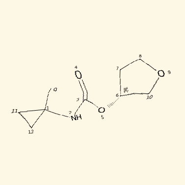 CC1(NC(=O)O[C@@H]2CCOC2)CC1